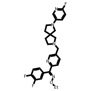 CCO/N=C(\c1ccc(F)c(F)c1)c1ccc(CN2CCC3(CCN(c4ccc(F)nc4)C3)C2)cn1